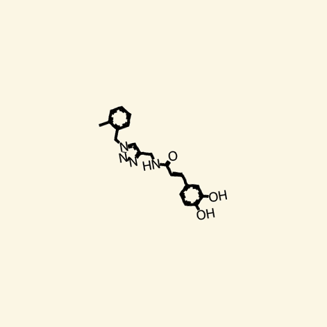 Cc1ccccc1Cn1cc(CNC(=O)/C=C/c2ccc(O)c(O)c2)nn1